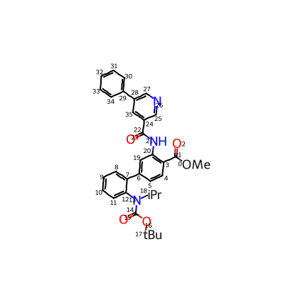 COC(=O)c1ccc(-c2ccccc2N(C(=O)OC(C)(C)C)C(C)C)cc1NC(=O)c1cncc(-c2ccccc2)c1